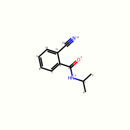 CC(C)NC(=O)c1ccccc1C#N